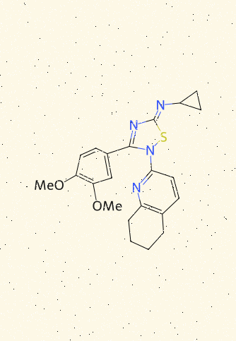 COc1ccc(-c2nc(=NC3CC3)sn2-c2ccc3c(n2)CCCC3)cc1OC